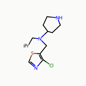 CC(C)CN(Cc1scnc1Cl)C1CCNCC1